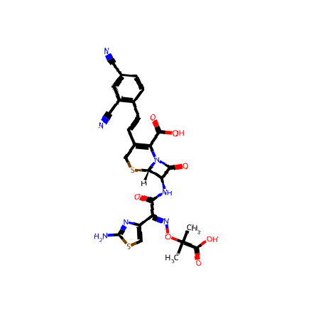 CC(C)(ON=C(C(=O)NC1C(=O)N2C(C(=O)O)=C(C=Cc3ccc(C#N)cc3C#N)CS[C@@H]12)c1csc(N)n1)C(=O)O